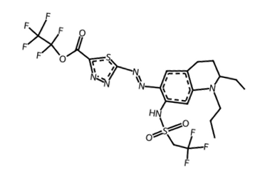 CCCN1c2cc(NS(=O)(=O)CC(F)(F)F)c(N=Nc3nnc(C(=O)OC(F)(F)C(F)(F)F)s3)cc2CCC1CC